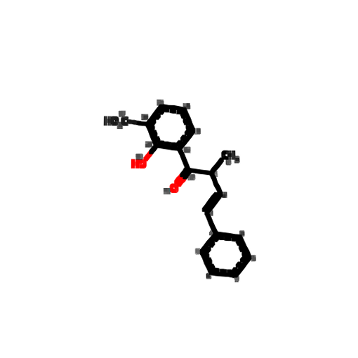 CC(C=Cc1ccccc1)C(=O)c1cccc(C(=O)O)c1O